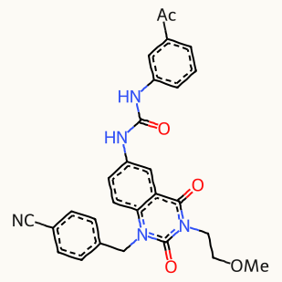 COCCn1c(=O)c2cc(NC(=O)Nc3cccc(C(C)=O)c3)ccc2n(Cc2ccc(C#N)cc2)c1=O